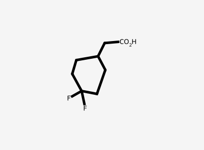 O=C(O)CC1CCC(F)(F)CC1